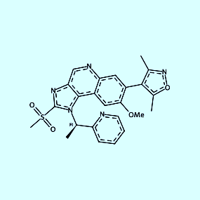 COc1cc2c(cc1-c1c(C)noc1C)ncc1nc(S(C)(=O)=O)n([C@H](C)c3ccccn3)c12